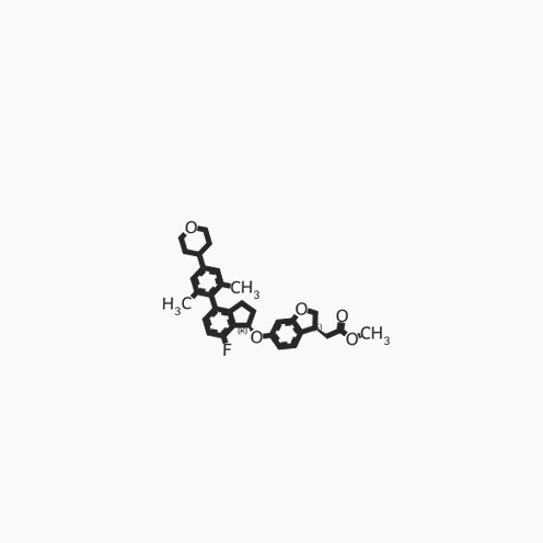 COC(=O)C[C@@H]1COc2cc(O[C@@H]3CCc4c(-c5c(C)cc(C6CCOCC6)cc5C)ccc(F)c43)ccc21